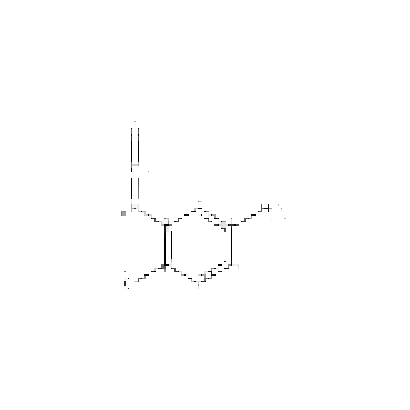 O=C=Nc1cc([N+](=O)[O-])ccc1Cl